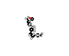 CN(C)C(=O)c1cc2cnc(Nc3ccc(-c4coc5c(=O)cc(N6CCN([S@+](C)[O-])CC6)oc45)cc3O)nc2n1C1CCCC1